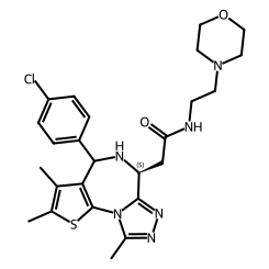 Cc1sc2c(c1C)C(c1ccc(Cl)cc1)N[C@@H](CC(=O)NCCN1CCOCC1)c1nnc(C)n1-2